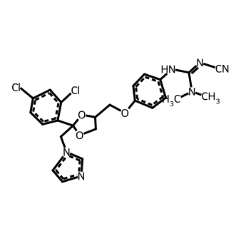 CN(C)C(=NC#N)Nc1ccc(OCC2COC(Cn3ccnc3)(c3ccc(Cl)cc3Cl)O2)cc1